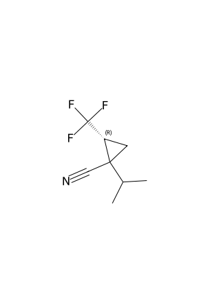 CC(C)C1(C#N)C[C@H]1C(F)(F)F